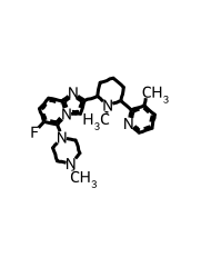 Cc1cccnc1C1CCCC(c2cn3c(N4CCN(C)CC4)c(F)ccc3n2)N1C